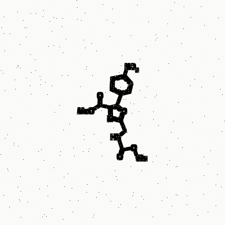 COC(=O)c1nc(CNC(=O)OC(C)(C)C)oc1-c1ccc([N+](=O)[O-])cc1